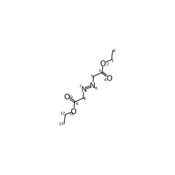 CCOC(=O)CN=NCC(=O)OCC